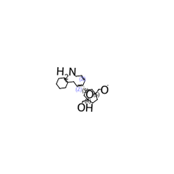 COC[C@]12CC[C@](CO)(C[C@H](C(/C=C\CN)=C/CC3=CCCCC3)C1)O2